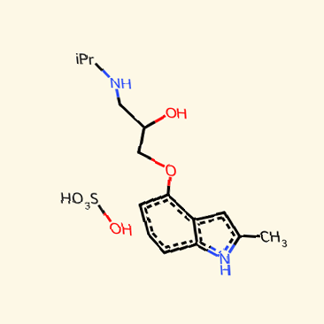 Cc1cc2c(OCC(O)CNC(C)C)cccc2[nH]1.O=S(=O)(O)O